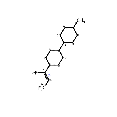 CC1CCC(C2CCC(/C(F)=C/C(F)(F)F)CC2)CC1